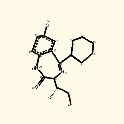 CC[C@H](C)C1N=C(C2CCCCC2)c2cc(Cl)ccc2NC1=O